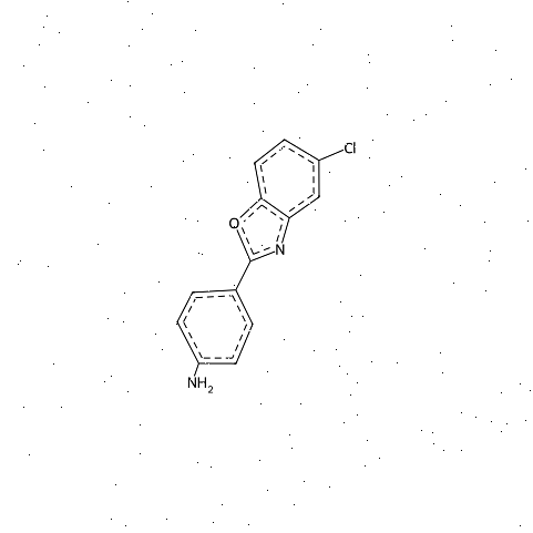 Nc1ccc(-c2nc3cc(Cl)ccc3o2)cc1